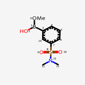 COB(O)c1cccc(S(=O)(=O)N(C)C)c1